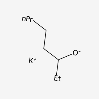 CCCCCC([O-])CC.[K+]